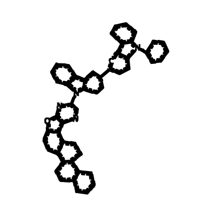 c1ccc(-n2c3ccccc3c3cc(-c4ccc5c(c4)c4ccccc4n5-c4cnc5c(n4)oc4ccc6c7ccc8ccccc8c7ccc6c45)ccc32)cc1